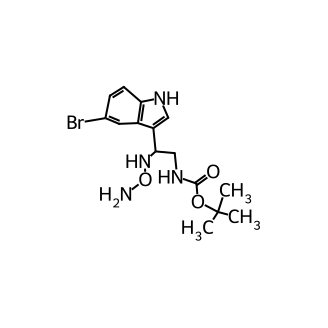 CC(C)(C)OC(=O)NCC(NON)c1c[nH]c2ccc(Br)cc12